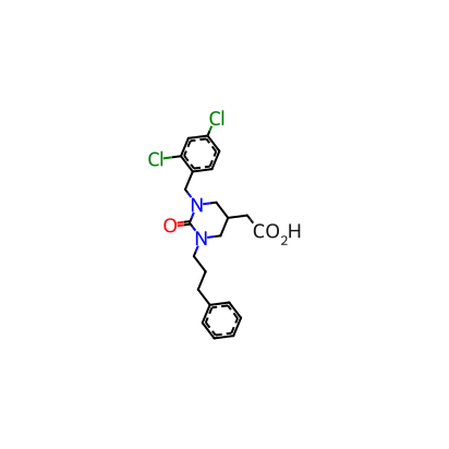 O=C(O)CC1CN(CCCc2ccccc2)C(=O)N(Cc2ccc(Cl)cc2Cl)C1